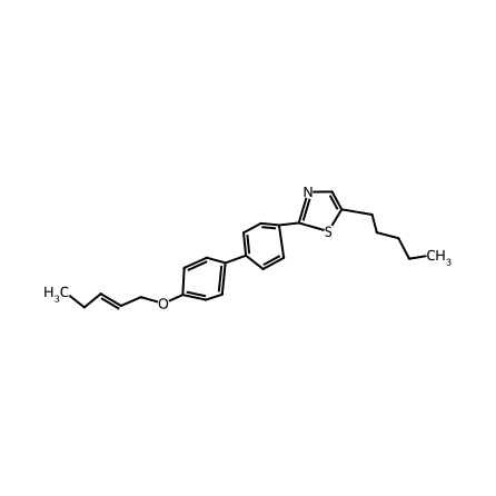 CCC=CCOc1ccc(-c2ccc(-c3ncc(CCCCC)s3)cc2)cc1